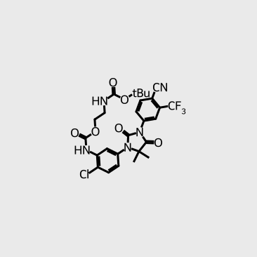 CC(C)(C)OC(=O)NCCOC(=O)Nc1cc(N2C(=O)N(c3ccc(C#N)c(C(F)(F)F)c3)C(=O)C2(C)C)ccc1Cl